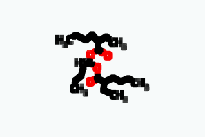 CCCCC(CC)C(=O)[O][SnH]([CH2]CCC)[O]C(=O)C(CC)CCCC